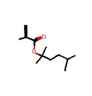 C=C(C)C(=O)OC(C)(C)CCC(C)C